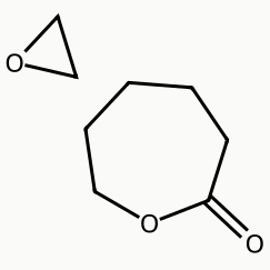 C1CO1.O=C1CCCCCO1